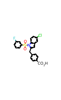 O=C(O)c1ccc(Cc2cc3cc(Cl)ccc3n2S(=O)(=O)c2cccc(F)c2)cc1